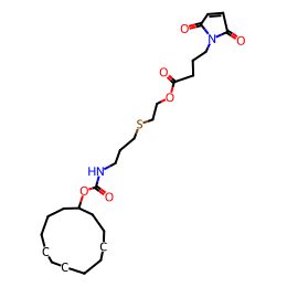 O=C(CCCN1C(=O)C=CC1=O)OCCSCCCNC(=O)OC1CCCCCCCCCCC1